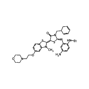 CCNc1ccc(N)cc1N=C1SC(=C2Sc3ccc(OCCN4CCOCC4)cc3N2C)C(=O)N1CC1C=CC=CC1